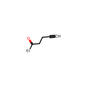 C#CCCC(=O)CC